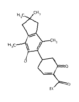 CCC(=O)C1=CCC(c2c(C)c3c(c(C)c2Cl)CC(C)(C)C3)CC1=O